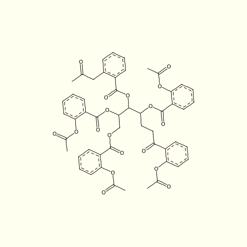 CC(=O)Cc1ccccc1C(=O)OC(C(CCC(=O)c1ccccc1OC(C)=O)OC(=O)c1ccccc1OC(C)=O)C(COC(=O)c1ccccc1OC(C)=O)OC(=O)c1ccccc1OC(C)=O